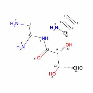 C=C.C=C.NCC(N)NC(=O)[C@H](O)[C@@H](O)C=O.[CH2]CN